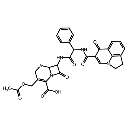 CC(=O)OCC1=C(C(=O)O)N2C(=O)C(NC(=O)C(NC(=O)c3cn4c5c(cccc5c3=O)CC4)c3ccccc3)C2SC1